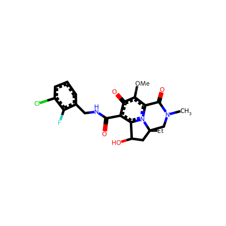 CCC12CC(O)c3c(C(=O)NCc4cccc(Cl)c4F)c(=O)c(OC)c(n31)C(=O)N(C)C2